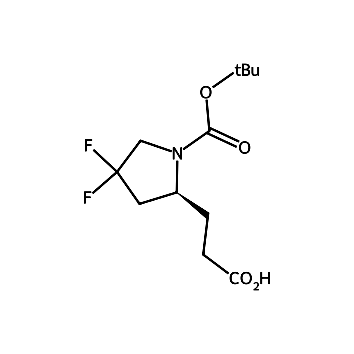 CC(C)(C)OC(=O)N1CC(F)(F)C[C@@H]1CCC(=O)O